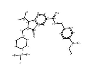 CC[S+]([O-])c1ccc(CNC(=O)c2cnc3c(c2)C(=O)N(C[C@H]2CC[C@H](C(F)(F)F)CC2)C3C(C)C)nc1